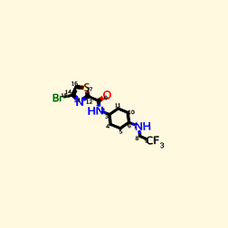 O=C(NC1CCC(NCC(F)(F)F)CC1)c1nc(Br)cs1